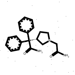 NC(=O)CN1CC[C@@H](C(C(N)=O)(c2ccccc2)c2ccccc2)C1